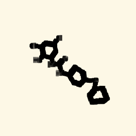 O=C(Nc1ccc(Oc2ccccc2)cc1)Nc1cc(Cl)cc(Cl)c1O